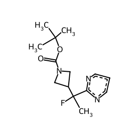 CC(C)(C)OC(=O)N1CC(C(C)(F)c2ncccn2)C1